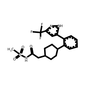 CS(=O)(=O)NC(=O)CC1CCC(c2ccccc2-c2cc(C(F)(F)F)n[nH]2)CC1